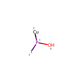 O[P]([Cu])I